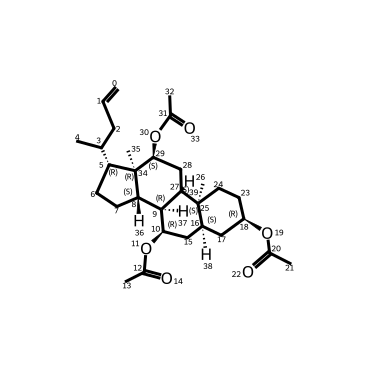 C=CCC(C)[C@H]1CC[C@H]2[C@@H]3[C@H](OC(C)=O)C[C@@H]4C[C@H](OC(C)=O)CC[C@]4(C)[C@H]3C[C@H](OC(C)=O)[C@]12C